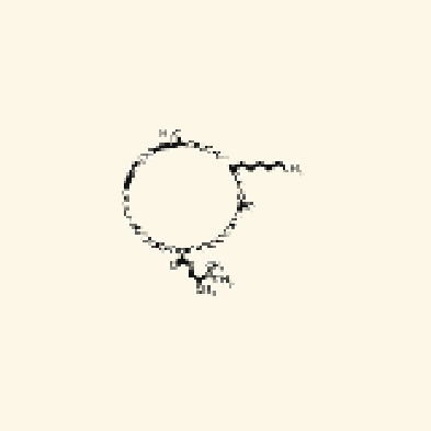 CCCCCCC1CCCCCC(C)/C=C/CCC/C=C\CCCCCCCCCN(C(=O)SCC(C)N(C)C)CCCCCCCC(=O)OCC1